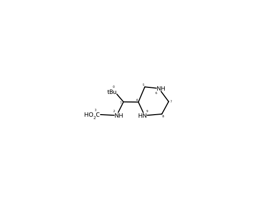 CC(C)(C)C(NC(=O)O)C1CNCCN1